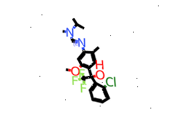 COc1cc(/N=C/N(C)C(C)C)c(C)cc1C(O)(c1ccccc1Cl)C(F)(F)F